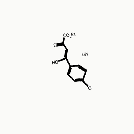 CCOC(=O)C(=O)C=C(O)c1ccc(Cl)cc1.[LiH]